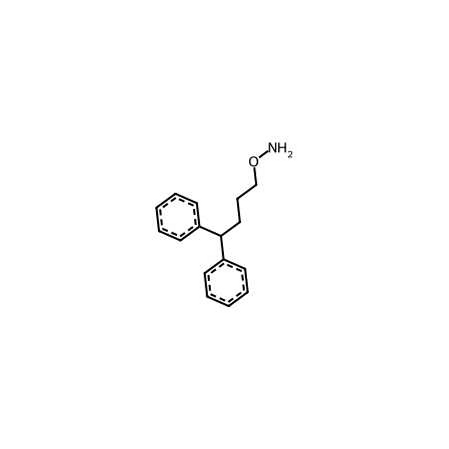 NOCCCC(c1ccccc1)c1ccccc1